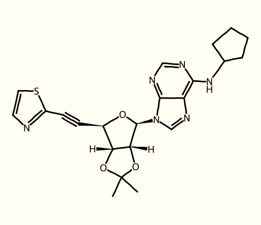 CC1(C)O[C@@H]2[C@H](O1)[C@@H](C#Cc1nccs1)O[C@H]2n1cnc2c(NC3CCCC3)ncnc21